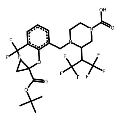 CC(C)(C)OC(=O)C1(Oc2c(CN3CCN(C(=O)O)CC3C(C(F)(F)F)C(F)(F)F)cccc2C(F)(F)F)CC1